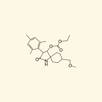 CCOC(=O)OC1C(c2c(C)cc(C)cc2C)C(=O)NC12CCC(COC)CC2